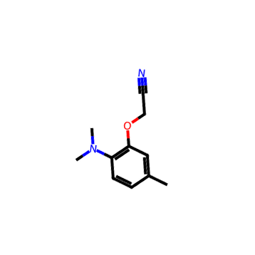 Cc1ccc(N(C)C)c(OCC#N)c1